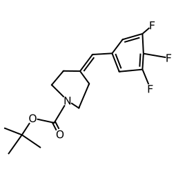 CC(C)(C)OC(=O)N1CCC(=Cc2cc(F)c(F)c(F)c2)CC1